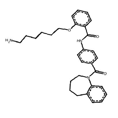 NCCCCCCOc1ccccc1C(=O)Nc1ccc(C(=O)N2CCCCc3ccccc32)cc1